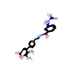 CC(C)(C)C(CC(=O)O)c1ccc(CCNC(=O)c2cccc(NC(=N)N)c2)cc1